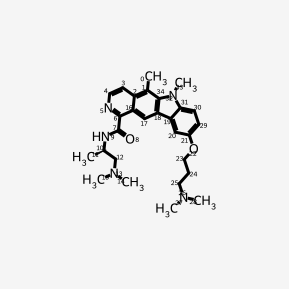 Cc1c2ccnc(C(=O)N[C@H](C)CN(C)C)c2cc2c3cc(OCCCN(C)C)ccc3n(C)c12